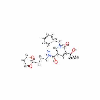 CNC(=O)c1cc(C(=O)NCCCC2OCCCO2)cn(Cc2ccccc2)c1=O